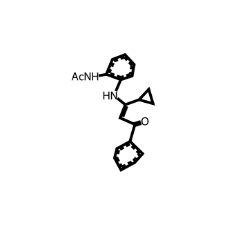 CC(=O)Nc1ccccc1NC(=CC(=O)c1ccccc1)C1CC1